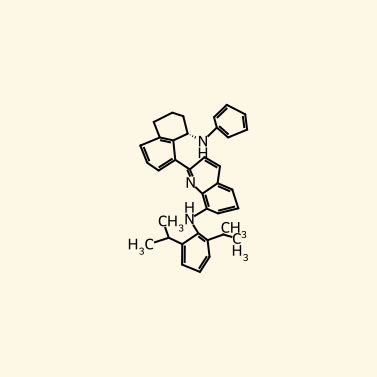 CC(C)c1cccc(C(C)C)c1Nc1cccc2ccc(-c3cccc4c3[C@@H](Nc3ccccc3)CCC4)nc12